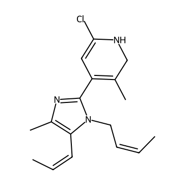 C/C=C\Cn1c(C2=C(C)CNC(Cl)=C2)nc(C)c1/C=C\C